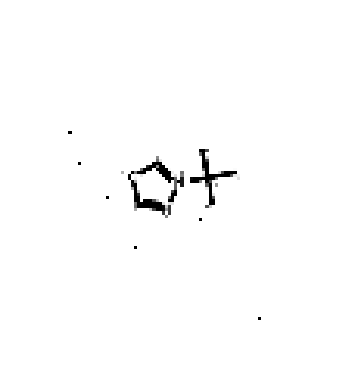 CC(C)(C)[n+]1cocn1